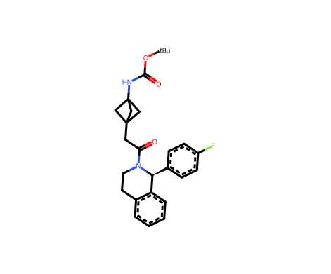 CC(C)(C)OC(=O)NC12CC(CC(=O)N3CCc4ccccc4[C@@H]3c3ccc(F)cc3)(C1)C2